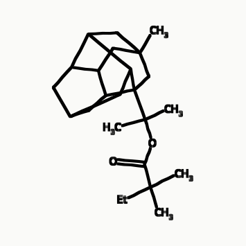 CCC(C)(C)C(=O)OC(C)(C)C12CC3(C)CC4C5CC(CC41)CC2C5C3